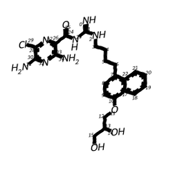 N=C(NCCCCc1ccc(OCC(O)CO)c2ccccc12)NC(=O)c1nc(Cl)c(N)nc1N